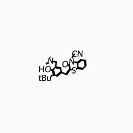 CN(C)Cc1cc(C=C2Sc3ccccc3N(CC#N)C2=O)cc(C(C)(C)C)c1O